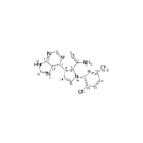 NC(=O)c1c(-c2ncnc3[nH]cnc23)ccn1-c1cc(C(F)(F)F)ccc1Cl